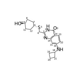 O=c1[nH]c(CS[C@H]2CC[C@H](O)CC2)nc2cc(NC3CCC3)ccc12